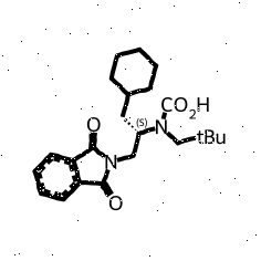 CC(C)(C)CN(C(=O)O)[C@@H](CC1CCCCC1)CN1C(=O)c2ccccc2C1=O